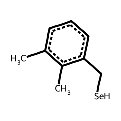 Cc1cccc(C[SeH])c1C